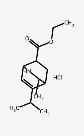 CCOC(=O)C1CC2C(C(C)C)=CC1NC2C.Cl